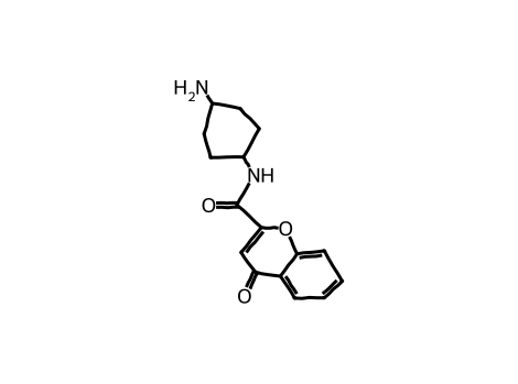 NC1CCC(NC(=O)c2cc(=O)c3ccccc3o2)CC1